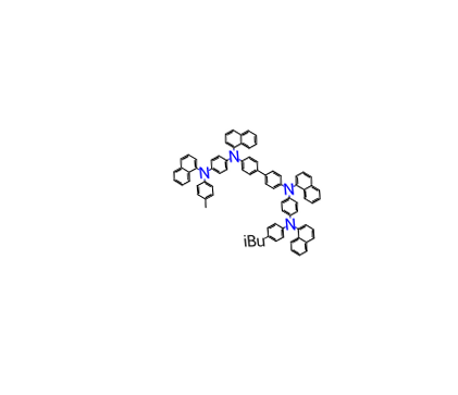 CCC(C)c1ccc(N(c2ccc(N(c3ccc(-c4ccc(N(c5ccc(N(c6ccc(C)cc6)c6cccc7ccccc67)cc5)c5cccc6ccccc56)cc4)cc3)c3cccc4ccccc34)cc2)c2cccc3ccccc23)cc1